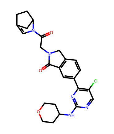 O=C1c2cc(-c3nc(NC4CCOCC4)ncc3Cl)ccc2CN1CC(=O)N1C=C2CCC1C2